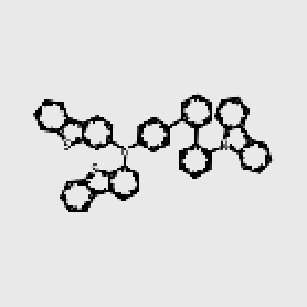 c1ccc(-c2ccccc2-n2c3ccccc3c3ccccc32)c(-c2ccc(N(c3ccc4c(c3)sc3ccccc34)c3cccc4c3sc3ccccc34)cc2)c1